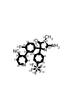 CN1C(=O)C(c2ccc(S(F)(F)(F)(F)F)cc2)(c2ccc(F)c(-c3cnccc3C#N)c2)N=C1N